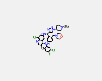 CC(C)(C)N1CCC(n2cc([C@@H](Nc3cc(Cl)c4ncc(C#N)c(Nc5ccc(F)c(Cl)c5)c4c3)c3ccccc3CN3CCOCC3)nn2)CC1